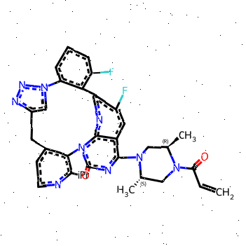 C=CC(=O)N1C[C@H](C)N(c2nc(=O)n3c4nc(c(F)cc24)-c2c(F)cccc2-n2cc(nn2)Cc2ccnc(C(C)C)c2-3)C[C@H]1C